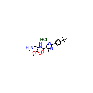 COC(=O)C(CN)NC(=O)c1cnc(-c2ccc(C(C)(C)C)cc2)nc1C.Cl